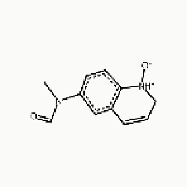 CN(C=O)c1ccc2c(c1)C=CC[NH+]2[O-]